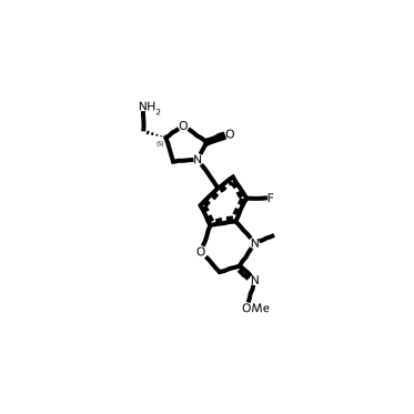 CON=C1COc2cc(N3C[C@H](CN)OC3=O)cc(F)c2N1C